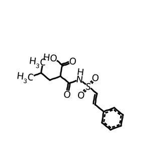 CC(C)CC(C(=O)O)C(=O)NS(=O)(=O)/C=C/c1ccccc1